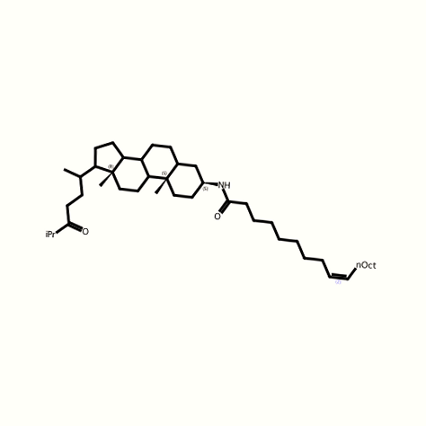 CCCCCCCC/C=C\CCCCCCCC(=O)N[C@H]1CC[C@@]2(C)C(CCC3C4CCC(C(C)CCC(=O)C(C)C)[C@@]4(C)CCC32)C1